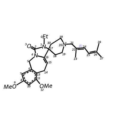 CCN1C(=O)N2Cc3cc(OC)cc(OC)c3CC=C2C12CCN(C/C(C)=C/C=C(C)C)CC2